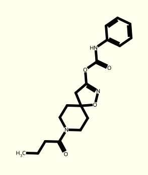 CCCC(=O)N1CCC2(CC1)CC(OC(=O)Nc1ccccc1)=NO2